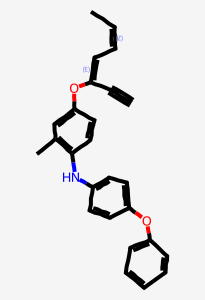 C#C/C(=C\C=C/C)Oc1ccc(Nc2ccc(Oc3ccccc3)cc2)c(C)c1